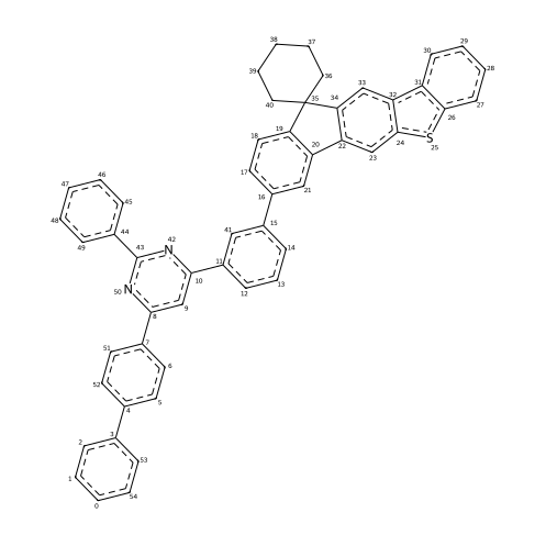 c1ccc(-c2ccc(-c3cc(-c4cccc(-c5ccc6c(c5)-c5cc7sc8ccccc8c7cc5C65CCCCC5)c4)nc(-c4ccccc4)n3)cc2)cc1